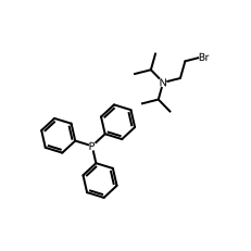 CC(C)N(CCBr)C(C)C.c1ccc(P(c2ccccc2)c2ccccc2)cc1